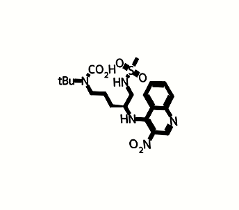 CC(C)(C)N(CCC[C@@H](CNS(C)(=O)=O)Nc1c([N+](=O)[O-])cnc2ccccc12)C(=O)O